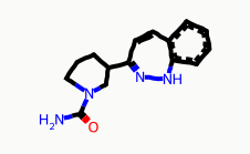 NC(=O)N1CCCC(C2=NNc3ccccc3C=C2)C1